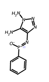 Nc1c(/N=[P+](\[O-])c2ccccc2)nnn1N